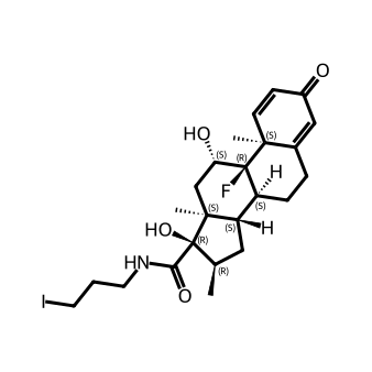 C[C@@H]1C[C@H]2[C@@H]3CCC4=CC(=O)C=C[C@]4(C)[C@@]3(F)[C@@H](O)C[C@]2(C)[C@@]1(O)C(=O)NCCCI